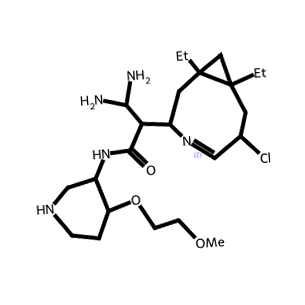 CCC12CC(Cl)/C=N\C(C(C(=O)NC3CNCCC3OCCOC)C(N)N)CC1(CC)C2